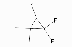 [CH2]C1C(C)(C)C1(F)F